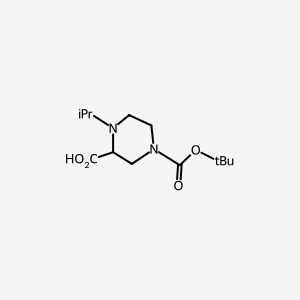 CC(C)N1CCN(C(=O)OC(C)(C)C)CC1C(=O)O